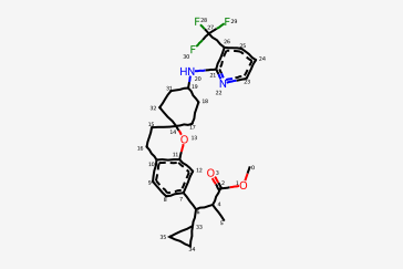 COC(=O)C(C)C(c1ccc2c(c1)OC1(CC2)CCC(Nc2ncccc2C(F)(F)F)CC1)C1CC1